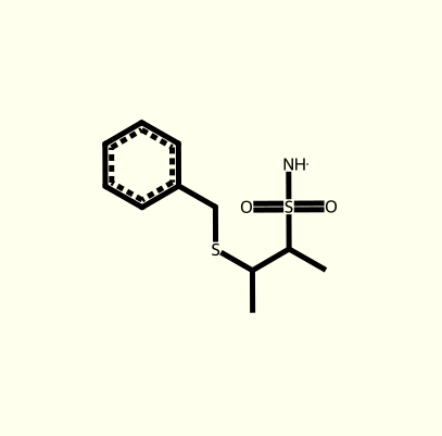 CC(SCc1ccccc1)C(C)S([NH])(=O)=O